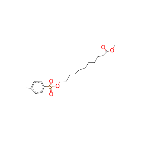 COC(=O)CCCCCCCCCCOS(=O)(=O)c1ccc(C)cc1